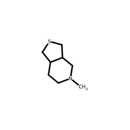 CN1CCC2CSCC2C1